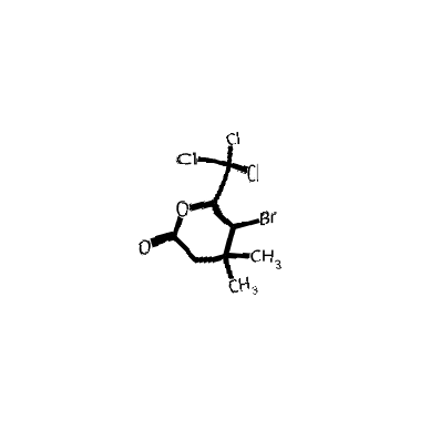 CC1(C)CC(=O)OC(C(Cl)(Cl)Cl)C1Br